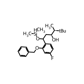 C[C@H]([C@@H](O)CC(O[SiH](C)C)c1ccc(F)cc1OCc1ccccc1)C(C)(C)C